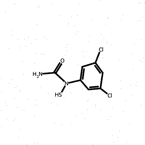 NC(=O)N(S)c1cc(Cl)cc(Cl)c1